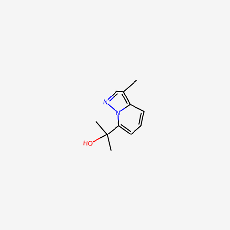 Cc1cnn2c(C(C)(C)O)cccc12